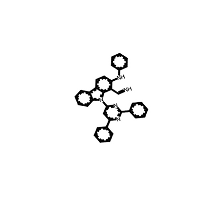 N=Cc1c(Nc2ccccc2)ccc2c3ccccc3n(-c3cc(-c4ccccc4)nc(-c4ccccc4)n3)c12